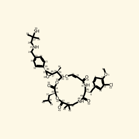 COc1ccc(C[C@H]2NC(=O)C=CC[C@@H]([C@H](C)[C@H]3O[C@@H]3c3ccc(CNCC(C)(C)S)cc3)OC(=O)[C@H](CC(C)C)OC(=O)C(C)(C)CNC2=O)cc1Cl